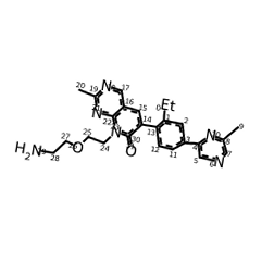 CCc1cc(-c2cncc(C)n2)ccc1-c1cc2cnc(C)nc2n(CCOCCN)c1=O